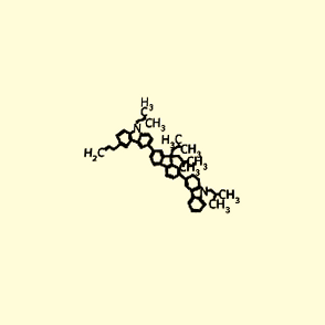 C=CCc1ccc2c(c1)c1cc(-c3ccc4c(c3)C(CC(C)C)(CC(C)C)c3cc(C5=Cc6c(n(CC(C)C)c7ccccc67)CC5)ccc3-4)ccc1n2CC(C)C